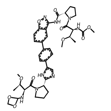 COC(=O)N[C@H](C(=O)N1CCC[C@H]1C(=O)Nc1noc2ccc(-c3ccc(-c4cnc([C@@H]5CCCN5C(=O)[C@@H](NC5OCO5)[C@@H](C)OC)[nH]4)cc3)cc12)[C@@H](C)OC